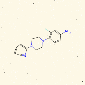 Nc1ccc(N2CCN(c3ccccn3)CC2)c(F)c1